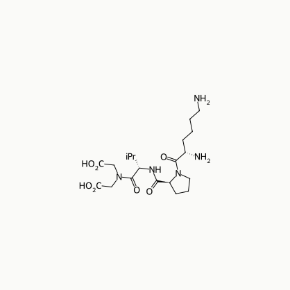 CC(C)[C@H](NC(=O)[C@@H]1CCCN1C(=O)[C@@H](N)CCCCN)C(=O)N(CC(=O)O)CC(=O)O